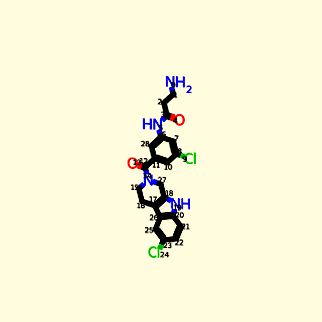 NCCC(=O)Nc1cc(Cl)cc(C(=O)N2CCc3c([nH]c4ccc(Cl)cc34)C2)c1